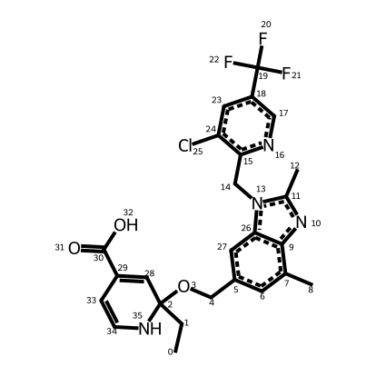 CCC1(OCc2cc(C)c3nc(C)n(Cc4ncc(C(F)(F)F)cc4Cl)c3c2)C=C(C(=O)O)C=CN1